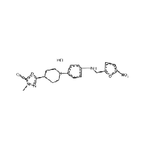 Cl.Cn1nc(C2CCN(c3ccc(NCc4ccc([N+](=O)[O-])o4)cc3)CC2)oc1=O